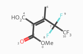 COC(=O)C(C(=O)O)=C(C)C(F)(F)C(F)(F)F